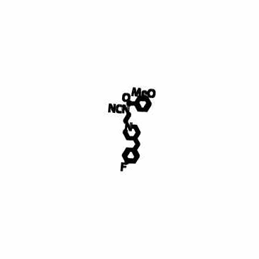 COc1ccccc1C(=O)N(C#N)CCN1CCC(Cc2ccc(F)cc2)CC1